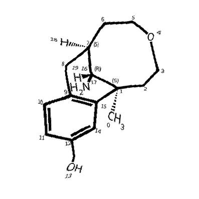 C[C@]12CCOCC[C@H](Cc3ccc(O)cc31)[C@H]2N